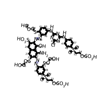 Nc1c(/N=N/c2ccc(S(=O)(=O)CCOS(=O)(=O)O)cc2SOOO)c(SOOO)cc2cc(S(=O)(=O)O)c(/N=N/c3cc(Nc4nc(Cl)nc(Nc5ccc(S(=O)(=O)CCOS(=O)(=O)O)cc5)n4)ccc3SOOO)c(O)c12